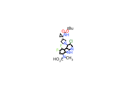 CN(C(=O)O)c1cc(F)c(F)c2c1[nH]c1ncc(Cl)c(N3CC[C@H](C4(NC(=O)OC(C)(C)C)CC4)C3)c12